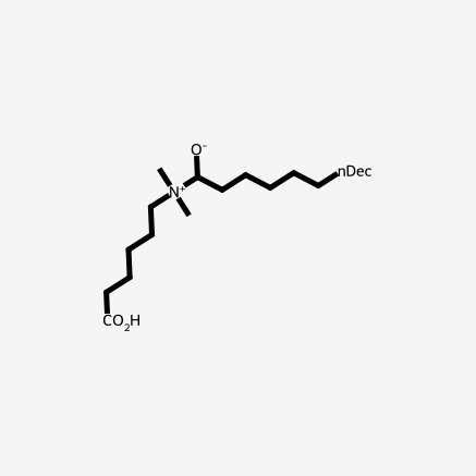 CCCCCCCCCCCCCCCC([O-])[N+](C)(C)CCCCCC(=O)O